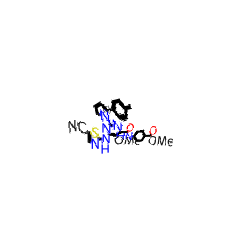 COC(=O)C1CCC(NC(=O)c2nc(N3CCC[C@H]3c3ccc(C)cc3)nc(Nc3ncc(C#N)s3)c2OC)CC1